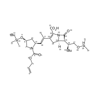 C=CCOC(=O)N1C[C@@H](O[Si](C)(C)C(C)(C)C)C[C@H]1C=C(C)C1=C(C(=O)O)N2C(=O)[C@@H]([C@@H](CO[SiH](C)C)C(C)(C)C)[C@H]2C1